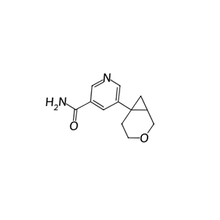 NC(=O)c1cncc(C23CCOCC2C3)c1